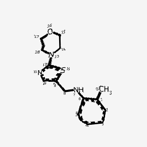 Cc1ccccc1NCc1cnc(N2CCOCC2)s1